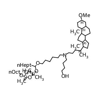 CCCCCCCCO[Si](C)(C)O[Si](C)(C)OC(CCCCCCC)OCCCCCCN(CCCCO)CCC[C@@H](C)C1CCC2C3CCC4C[C@H](OC)CC[C@]4(C)C3CC[C@@]21C